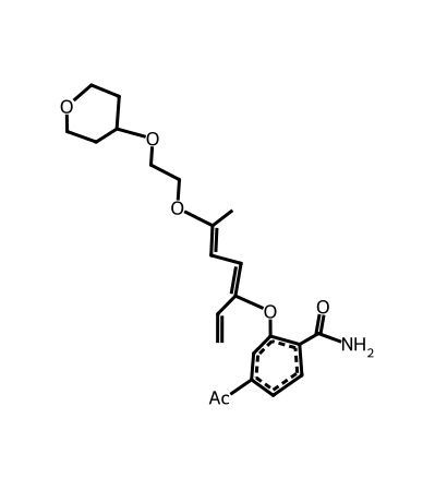 C=C/C(=C\C=C(/C)OCCOC1CCOCC1)Oc1cc(C(C)=O)ccc1C(N)=O